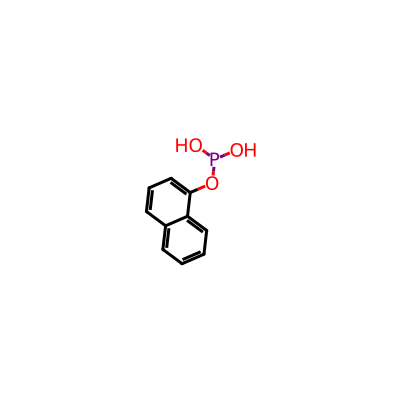 OP(O)Oc1cccc2ccccc12